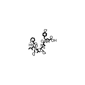 CCC(C)C(NC(=O)C1CCCCN1C)C(=O)N(CCOC)[C@H](C[C@@H](OCOC)c1nc(C(=O)N[C@@H](Cc2ccc(OC)cc2)C[C@H](C)C(=O)O)cs1)C(C)C